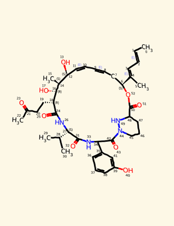 C/C=C/C=C(\C)[C@@H]1C/C=C/C=C/[C@H](O)[C@H](C)[C@@H](O)[C@@H](CCC(C)=O)C(=O)N[C@@H](C(C)C)C(=O)NC(c2cccc(O)c2)C(=O)N2CCCC(N2)C(=O)O1